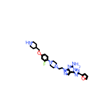 Nc1nc2c(cnn2CCN2CCN(c3ccc(OCC4CCNCC4)cc3F)CC2)c2nc(-c3ccco3)nn12